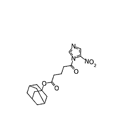 O=C(CCCC(=O)n1cncc1[N+](=O)[O-])OC12CC3CC(CC(C3)C1)C2